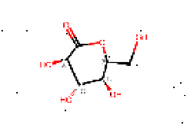 O=C1O[C@@H](CO)[C@@H](O)[C@H](O)[C@H]1O